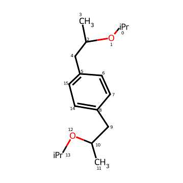 CC(C)OC(C)Cc1ccc(CC(C)OC(C)C)cc1